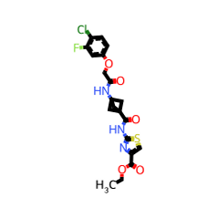 CCOC(=O)c1csc(NC(=O)C23CC(NC(=O)COc4ccc(Cl)c(F)c4)(C2)C3)n1